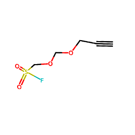 C#CCOCOCS(=O)(=O)F